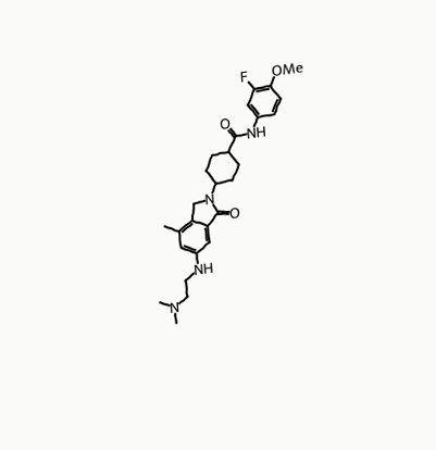 COc1ccc(NC(=O)C2CCC(N3Cc4c(C)cc(NCCN(C)C)cc4C3=O)CC2)cc1F